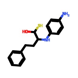 Nc1ccc(NC(CCc2ccccc2)C(O)S)cc1